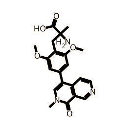 COc1cc(-c2cn(C)c(=O)c3cnccc23)cc(OC)c1CC(C)(N)C(=O)O